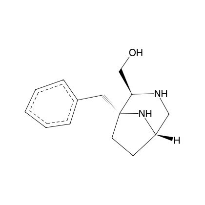 OC[C@H]1NC[C@@H]2CC[C@]1(Cc1ccccc1)N2